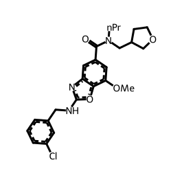 CCCN(CC1CCOC1)C(=O)c1cc(OC)c2oc(NCc3cccc(Cl)c3)nc2c1